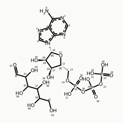 Nc1ncnc2c1ncn2[C@@H]1O[C@H](COP(=O)(O)OP(=O)(O)OP(=O)(O)O)[C@@H](O)[C@H]1O.O=CC(O)C(O)C(O)C(O)CO